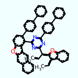 C=C/C(c1nc(-c2ccc(-c3ccccc3)cc2)nc(-c2c(-c3ccc(-c4ccccc4)cc3)ccc3oc4cc5ccccc5cc4c23)n1)=c1/oc2ccccc2/c1=C/C